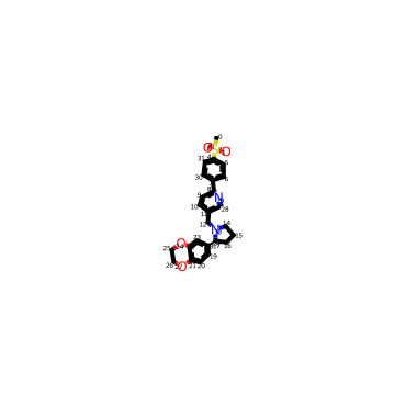 CS(=O)(=O)c1ccc(-c2ccc(CN3CCC[C@H]3c3ccc4c(c3)OCCO4)cn2)cc1